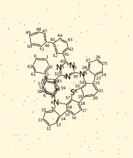 c1ccc(-c2ccc(-n3c4ccccc4c4ccc5c6ccc7c8ccccc8n(-c8nc(-c9ccccc9)nc(-c9cccc(-c%10ccccc%10)c9)n8)c7c6sc5c43)cc2)cc1